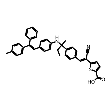 CCC(C)(Nc1ccc(/C=C(\c2ccccc2)c2ccc(C)cc2)cc1)c1ccc(/C=C(\C#N)c2ccc(C(=O)O)s2)cc1